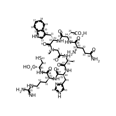 C[C@H](NC(=O)CN(C)C(=O)[C@H](Cc1c[nH]c2ccccc12)NC(=O)[C@H](CC(=O)O)NC(=O)[C@@H](N)CCC(N)=O)C(=O)N[C@@H](Cc1c[nH]cn1)C(=O)N[C@@H](CCCNC(=N)N)C(=O)N[C@@H](CS)C(=O)O